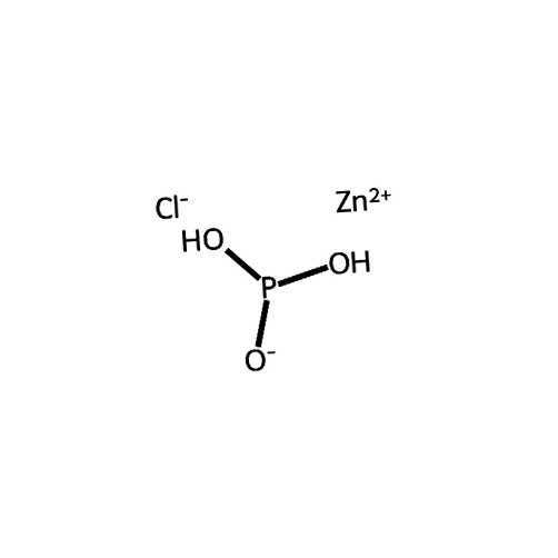 [Cl-].[O-]P(O)O.[Zn+2]